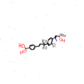 CCc1cc(C(CC)(CC)CCc2ccc(C(O)O)cc2)ccc1C(I)=CC(O)C(C)(C)C